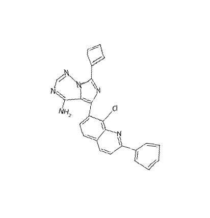 Nc1ncnn2c(C3=CC=C3)nc(-c3ccc4ccc(-c5ccccc5)nc4c3Cl)c12